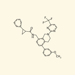 COc1cccc(-c2ccc(CNC(=O)C3CC3c3ccccc3)c3c2CCN(c2nccc(C(F)(F)F)n2)C3)c1